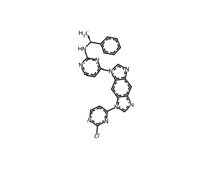 C[C@H](Nc1nccc(-n2cnc3cc4ncn(-c5ccnc(Cl)n5)c4cc32)n1)c1ccccc1